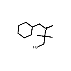 CN(CC1CCCCC1)C(C)(C)CS